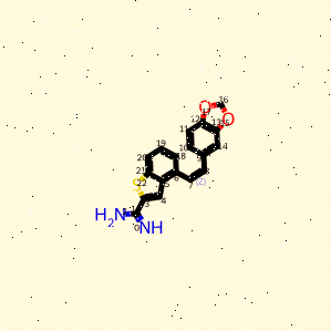 N=C(N)c1cc2c(/C=C\c3ccc4c(c3)OCO4)cccc2s1